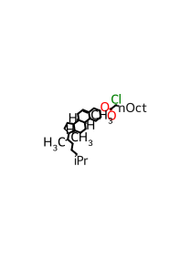 CCCCCCCCC(Cl)C(=O)O[C@H]1CC[C@@]2(C)C(=CC[C@H]3[C@@H]4CC[C@H]([C@H](C)CCCC(C)C)[C@@]4(C)CC[C@@H]32)C1